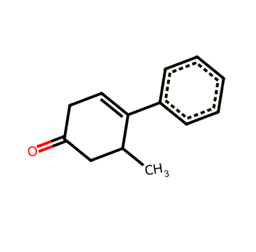 CC1CC(=O)CC=C1c1ccccc1